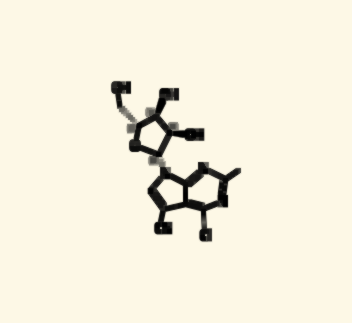 Cc1nc(Cl)c2c(C#N)cn([C@@H]3O[C@H](CO)[C@@H](O)[C@H]3O)c2n1